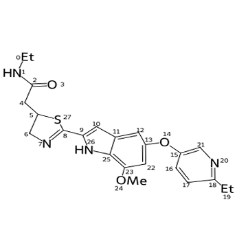 CCNC(=O)CC1CN=C(c2cc3cc(Oc4ccc(CC)nc4)cc(OC)c3[nH]2)S1